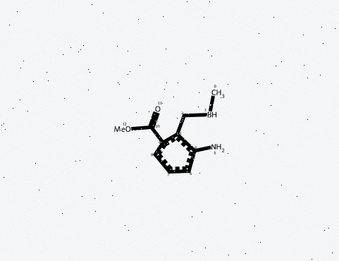 CBCc1c(N)cccc1C(=O)OC